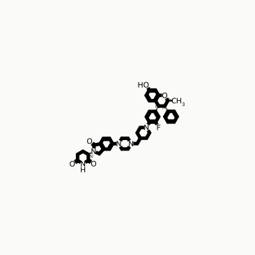 C[C@@H]1Oc2cc(O)ccc2[C@@H](c2ccc(N3CCC(CN4CCN(c5ccc6c(c5)CN([C@H]5CCC(=O)NC5=O)C6=O)CC4)CC3)c(F)c2)[C@H]1c1ccccc1